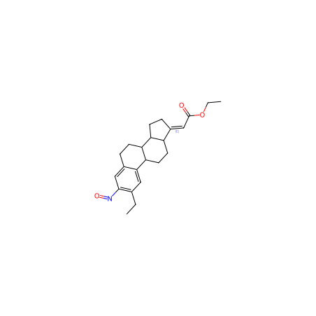 CCOC(=O)/C=C1\CCC2C1CCC1c3cc(CC)c(N=O)cc3CCC12